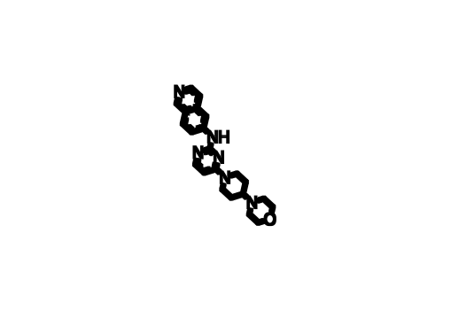 c1cc2cc(Nc3nccc(N4CCC(N5CCOCC5)CC4)n3)ccc2cn1